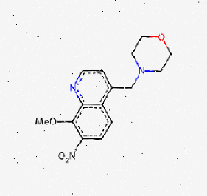 COc1c([N+](=O)[O-])ccc2c(CN3CCOCC3)ccnc12